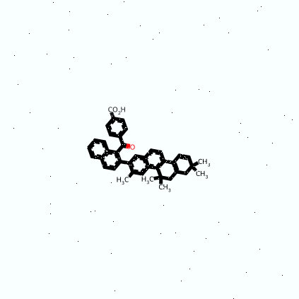 Cc1cc2c3c(ccc2cc1-c1ccc2ccccc2c1C(=O)c1ccc(C(=O)O)cc1)C1=C(CC(C)(C)C=C1)CC3(C)C